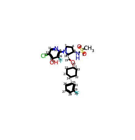 CS(=O)(=O)N[C@H]1CCN(c2ncc(Cl)c(O)c2F)[C@H]1CO[C@H]1CC[C@@H](c2cccc(F)c2)CC1